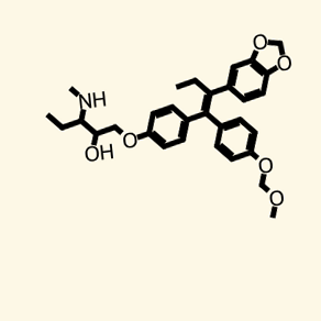 CCC(=C(c1ccc(OCOC)cc1)c1ccc(OCC(O)C(CC)NC)cc1)c1ccc2c(c1)OCO2